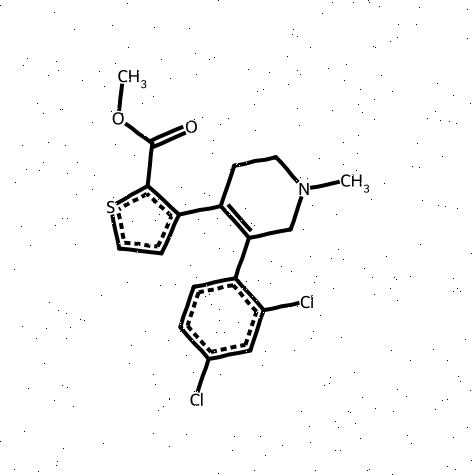 COC(=O)c1sccc1C1=C(c2ccc(Cl)cc2Cl)CN(C)CC1